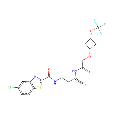 C=C(CCNC(=O)c1nc2cc(Cl)ccc2s1)NC(=O)CO[C@H]1C[C@@H](OC(F)(F)F)C1